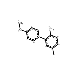 COc1ccc(-c2cc(Cl)ccc2N)cc1